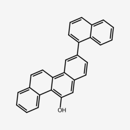 Oc1cc2ccc(-c3cccc4ccccc34)cc2c2ccc3ccccc3c12